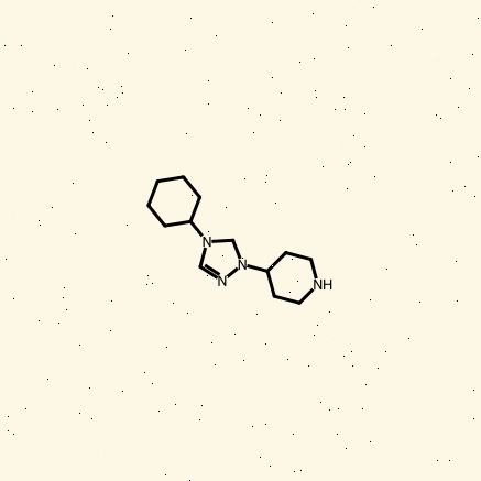 C1=NN(C2CCNCC2)CN1C1CCCCC1